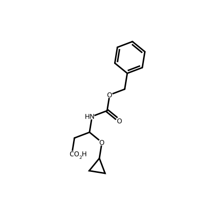 O=C(O)CC(NC(=O)OCc1ccccc1)OC1CC1